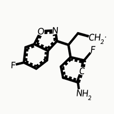 [CH2]CC(c1ccc(N)cc1F)c1noc2cc(F)ccc12